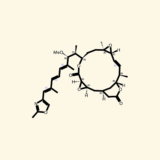 CO[C@@H](/C(C)=C/C=C/C(C)=C/c1coc(C)n1)[C@@H](C)[C@H]1CC[C@@]2(C)O[C@@H]2/C=C/[C@@H](C)[C@H]2C[C@@H](CC(=O)O2)C[C@H]2O[C@H]2C(=O)O1